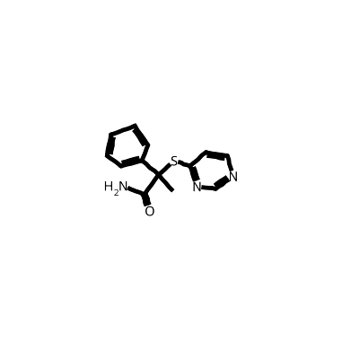 CC(Sc1ccncn1)(C(N)=O)c1ccccc1